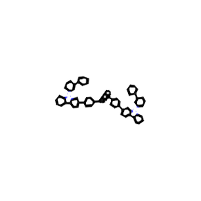 c1ccc(-c2cccc(-n3c4ccccc4c4ccc(-c5ccc(C67C8C9C6C6C7C8C96c6ccc(-c7ccc8c9ccccc9n(-c9cccc(-c%10ccccc%10)c9)c8c7)cc6)cc5)cc43)c2)cc1